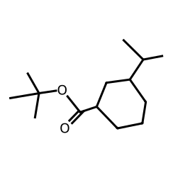 CC(C)C1CCCC(C(=O)OC(C)(C)C)C1